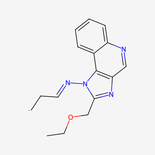 [CH2]CC=Nn1c(COCC)nc2cnc3ccccc3c21